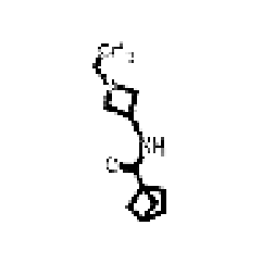 CCN1CC(NC(=O)C23CCC(C2)C3)C1